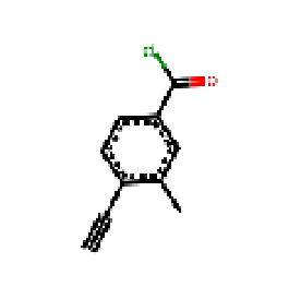 C#Cc1ccc(C(=O)Cl)cc1C